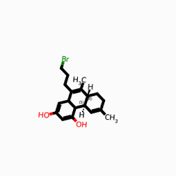 CC1=C[C@H]2C3C(O)=CC(O)=CC3C(CCCBr)=C(C)[C@@H]2CC1